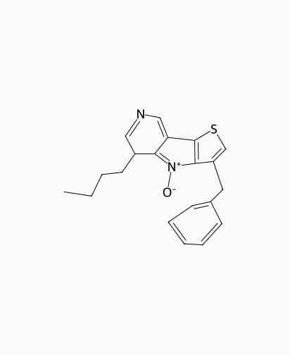 CCCCC1C=NC=C2C1=[N+]([O-])c1c(Cc3ccccc3)csc12